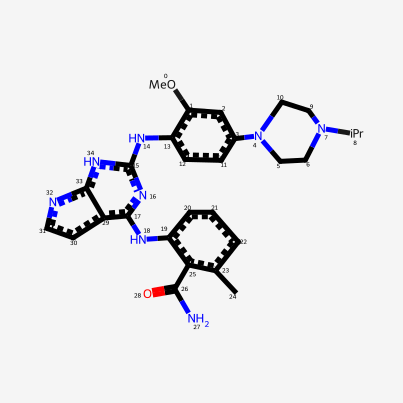 COc1cc(N2CCN(C(C)C)CC2)ccc1Nc1nc(Nc2cccc(C)c2C(N)=O)c2ccnc-2[nH]1